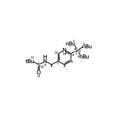 CCC[CH2][Sn]([CH2]CCC)([CH2]CCC)[c]1ccc(CNS(=O)C(C)(C)C)cn1